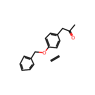 C=C.CC(=O)Cc1ccc(OCc2ccccc2)cc1